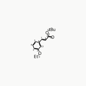 CCOc1cccc(C=CC(=O)OC(C)(C)C)c1